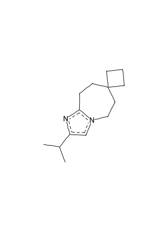 CC(C)c1cn2c(n1)CCC1(CCC1)CC2